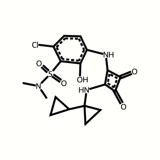 CN(C)S(=O)(=O)c1c(Cl)ccc(Nc2c(NC3(C4CC4)CC3)c(=O)c2=O)c1O